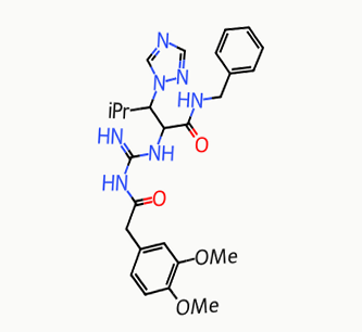 COc1ccc(CC(=O)NC(=N)NC(C(=O)NCc2ccccc2)C(C(C)C)n2cncn2)cc1OC